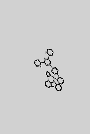 c1ccc(-c2cc(-c3ccc4c(c3)C3(c5ccccc5-4)c4ccccc4-c4cccc5c6ccccc6n3c45)cc(-c3ccccn3)n2)nc1